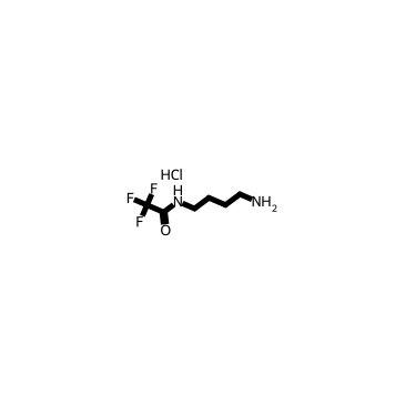 Cl.NCCCCNC(=O)C(F)(F)F